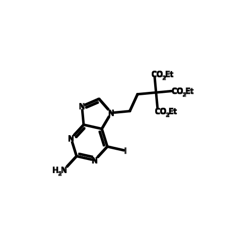 CCOC(=O)C(CCn1cnc2nc(N)nc(I)c21)(C(=O)OCC)C(=O)OCC